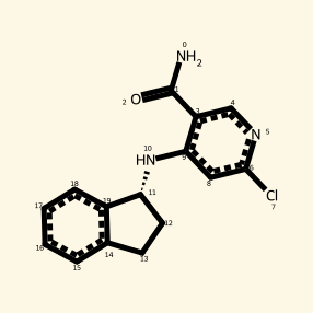 NC(=O)c1cnc(Cl)cc1N[C@@H]1CCc2ccccc21